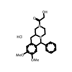 COc1cc2c(cc1OC)C(c1ccccc1)N1CCN(C(=O)CO)CC1C2.Cl